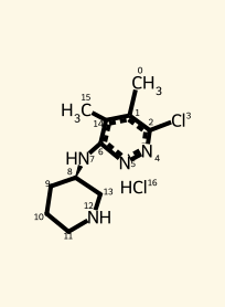 Cc1c(Cl)nnc(N[C@@H]2CCCNC2)c1C.Cl